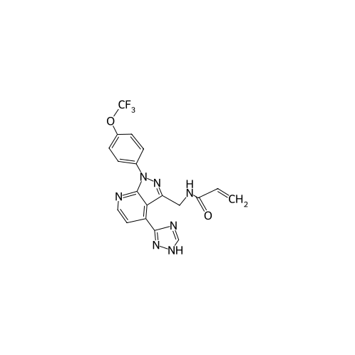 C=CC(=O)NCc1nn(-c2ccc(OC(F)(F)F)cc2)c2nccc(-c3nc[nH]n3)c12